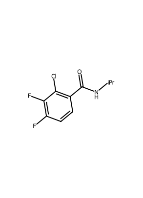 CC(C)NC(=O)c1ccc(F)c(F)c1Cl